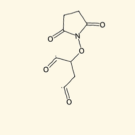 O=[C]CC([C]=O)ON1C(=O)CCC1=O